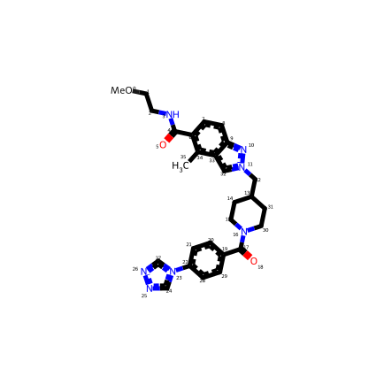 COCCNC(=O)c1ccc2nn(CC3CCN(C(=O)c4ccc(-n5cnnc5)cc4)CC3)cc2c1C